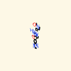 COc1nc(NC2CC3(CCN3C(C)=O)C2)nn2ccc(-c3ccc4nccnc4c3)c12